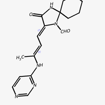 C/C(=C\C=C1\C(=O)NC2(CCCCC2)N1C=O)Nc1ccncn1